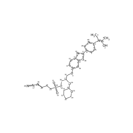 CB(O)N(C)c1ccc(-c2nc3ccc(OCC(COS(=O)(=O)CCCN=[N+]=[N-])OC4CCCCO4)cc3s2)cn1